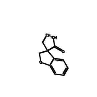 CCC1(C(=O)O)COc2ccccc21